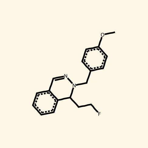 COc1ccc(CN2N=Cc3ccccc3C2CCF)cc1